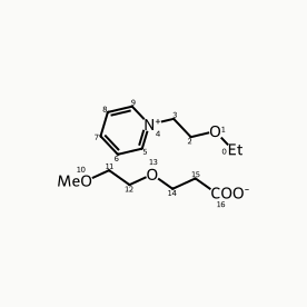 CCOCC[n+]1ccccc1.COCCOCCC(=O)[O-]